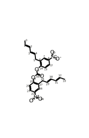 C/C=C/C=C/Cc1cc([N+](=O)[O-])ccc1OC(=O)Oc1ccc([N+](=O)[O-])cc1C/C=C/C=C/C